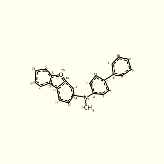 CN(c1ccc(-c2ccccc2)cc1)c1ccc2c(c1)oc1ccccc12